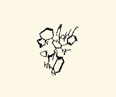 CN(C)[C@H]1C(n2c(=O)[nH]c3ncccc32)CC(C2CCCCc3cccnc32)N(C(=O)O)[C@H]1c1cccc(F)c1F